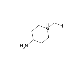 NC1CC[SiH](CI)CC1